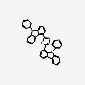 c1ccc(-n2c3ccccc3c3c(-c4nnc(-c5cccc6c7ccccc7n(-c7ccccc7)c56)o4)cccc32)cc1